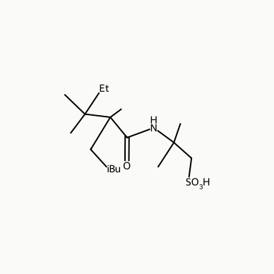 CCC(C)CC(C)(C(=O)NC(C)(C)CS(=O)(=O)O)C(C)(C)CC